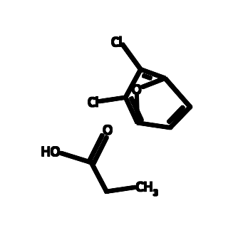 CCC(=O)O.Clc1c(Cl)c2ccc1o2